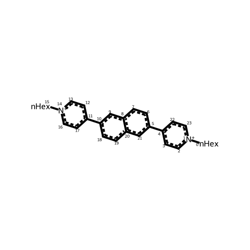 CCCCCC[n+]1ccc(-c2ccc3cc(-c4cc[n+](CCCCCC)cc4)ccc3c2)cc1